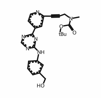 CN(CC#Cc1cc(-c2ncnc(Nc3cccc(CO)c3)n2)ccn1)C(=O)OC(C)(C)C